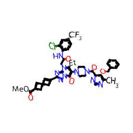 CCc1c(N2CCN(C(=O)c3ncnc(C)c3OCc3ccccc3)CC2)c(=O)n2nc(C3=CC4(C3)CC(C(=O)OC)C4)nc2n1CC(=O)Nc1ccc(C(F)(F)F)cc1Cl